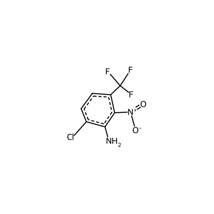 Nc1c(Cl)ccc(C(F)(F)F)c1[N+](=O)[O-]